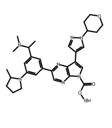 CC(c1cc(-c2cnc3c(n2)c(-c2cnn(C4CCOCC4)c2)cn3C(=O)OC(C)(C)C)cc(N2CCCC2C)c1)N(C)C